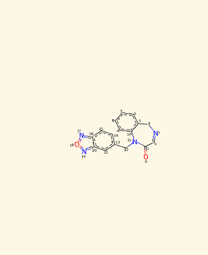 O=C1C=NCc2ccccc2N1Cc1ccc2nonc2c1